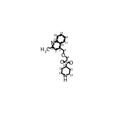 Cc1cc(COCS(=O)(=O)C2CCNCC2)c2ccccc2n1